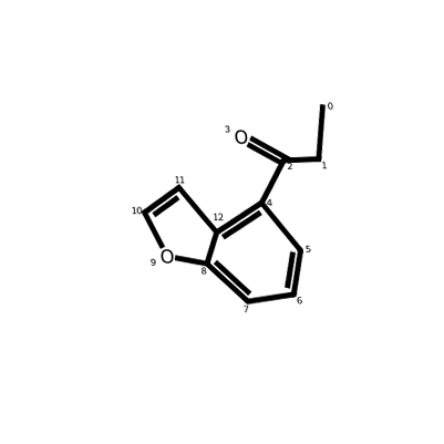 CCC(=O)c1cccc2occc12